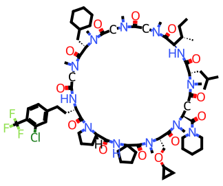 CC[C@H](C)[C@@H]1NC(=O)[C@H](CC(C)C)N(C)C(=O)C[C@@H](C(=O)N2CCCCC2)N(C)C(=O)[C@H](COC2CC2)N(C)C(=O)C2(CCCC2)NC(=O)[C@@H]2CCCN2C(=O)[C@H](CCc2ccc(C(F)(F)F)c(Cl)c2)NC(=O)CN(C)C(=O)[C@H](CC2CCCCC2)N(C)C(=O)CN(C)C(=O)CN(C)C1=O